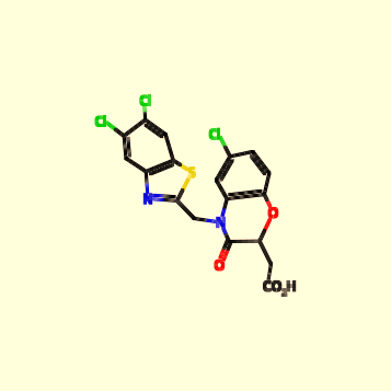 O=C(O)CC1Oc2ccc(Cl)cc2N(Cc2nc3cc(Cl)c(Cl)cc3s2)C1=O